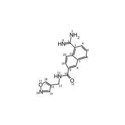 N=C(N)c1cccc2cc(C(=O)NCc3cnoc3)ccc12